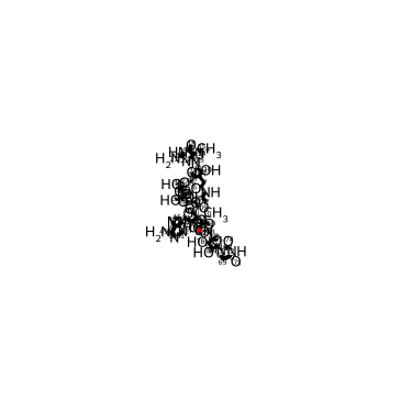 COCCNC(=O)CC1[C@@H](O)C(n2c[n+](C)c3c(=O)[nH]c(N)nc32)O[C@@H]1COP(=O)(O)OP(=O)(O)OP(=O)(O)OC[C@H]1O[C@@H](n2cnc3c(N)ncnc32)[C@H](OC)[C@@H]1OP(=O)(O)OC[C@H]1O[C@@H](n2ccc(=O)[nH]c2=O)[C@H](O)[C@@H]1O